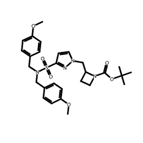 COc1ccc(CN(Cc2ccc(OC)cc2)S(=O)(=O)c2ccn(CC3CCN3C(=O)OC(C)(C)C)n2)cc1